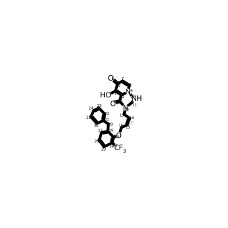 O=C1c2c(O)c(=O)ccn2NCN1C/C=C\COc1c(Cc2ccccc2)cccc1C(F)(F)F